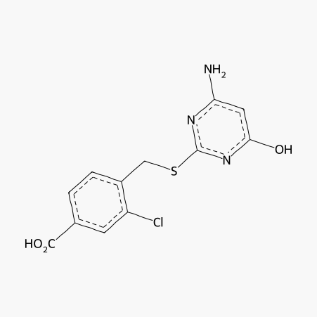 Nc1cc(O)nc(SCc2ccc(C(=O)O)cc2Cl)n1